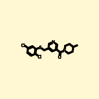 CC1CCN(C(=O)c2cncc(CSc3cc(Cl)ccc3Cl)c2)CC1